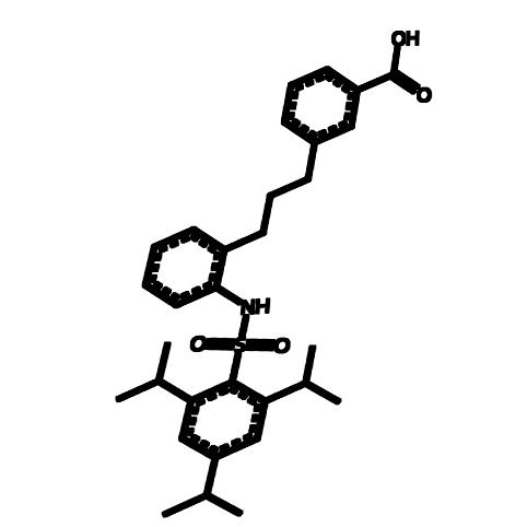 CC(C)c1cc(C(C)C)c(S(=O)(=O)Nc2ccccc2CCCc2cccc(C(=O)O)c2)c(C(C)C)c1